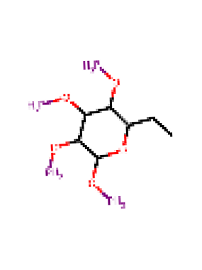 CCC1OC(OP)C(OP)C(OP)C1OP